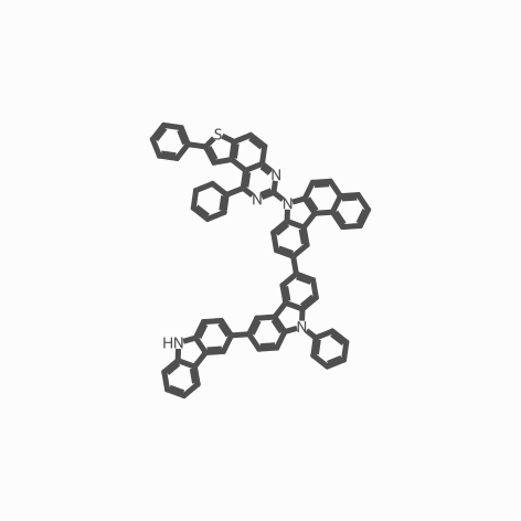 C1=CCCC(c2nc(-n3c4ccc(-c5ccc6c(c5)c5cc(-c7ccc8[nH]c9ccccc9c8c7)ccc5n6-c5ccccc5)cc4c4c5ccccc5ccc43)nc3ccc4sc(-c5ccccc5)cc4c23)=C1